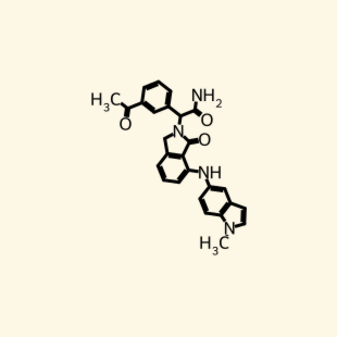 CC(=O)c1cccc(C(C(N)=O)N2Cc3cccc(Nc4ccc5c(ccn5C)c4)c3C2=O)c1